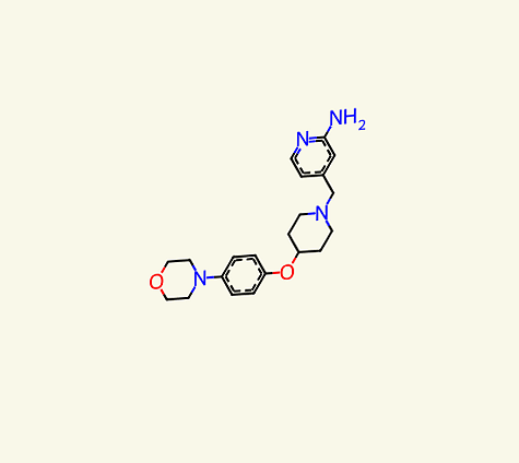 Nc1cc(CN2CCC(Oc3ccc(N4CCOCC4)cc3)CC2)ccn1